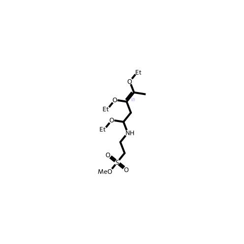 CCO/C(C)=C(/CC(NCCS(=O)(=O)OC)OCC)OCC